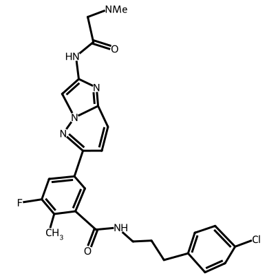 CNCC(=O)Nc1cn2nc(-c3cc(F)c(C)c(C(=O)NCCCc4ccc(Cl)cc4)c3)ccc2n1